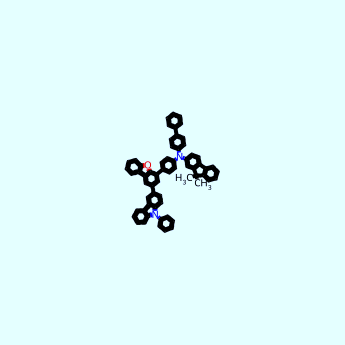 CC1(C)c2ccccc2-c2ccc(N(c3ccc(-c4ccccc4)cc3)c3ccc(-c4cc(-c5ccc6c(c5)c5ccccc5n6-c5ccccc5)cc5c4oc4ccccc45)cc3)cc21